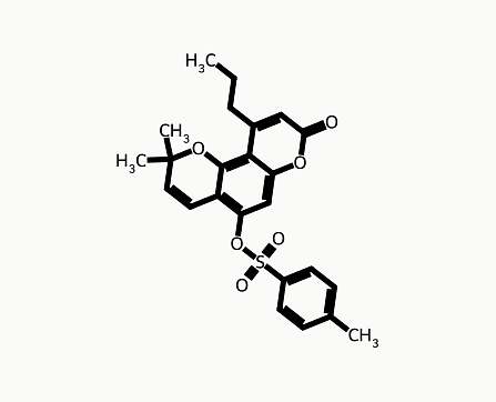 CCCc1cc(=O)oc2cc(OS(=O)(=O)c3ccc(C)cc3)c3c(c12)OC(C)(C)C=C3